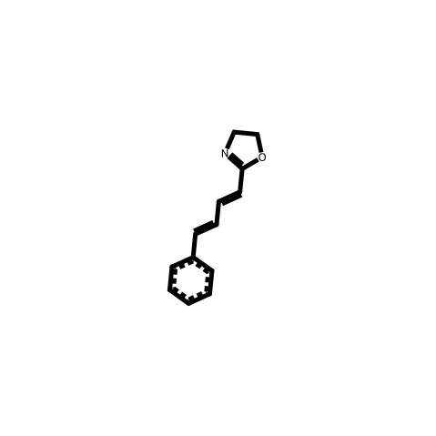 C(C=Cc1ccccc1)=CC1=NCCO1